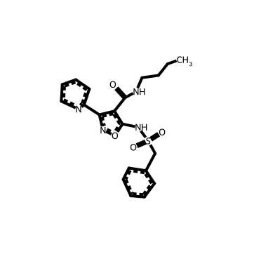 CCCCNC(=O)c1c(-c2ccccn2)noc1NS(=O)(=O)Cc1ccccc1